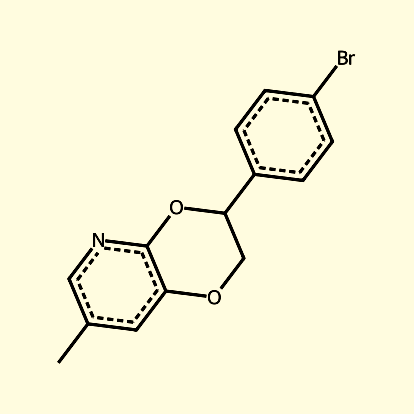 Cc1cnc2c(c1)OCC(c1ccc(Br)cc1)O2